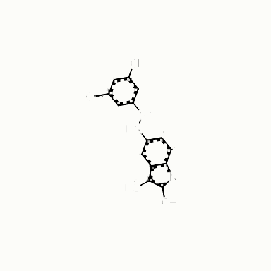 Cc1[nH]c2ccc(NSc3cc(Cl)cc(Cl)c3)cc2c1C